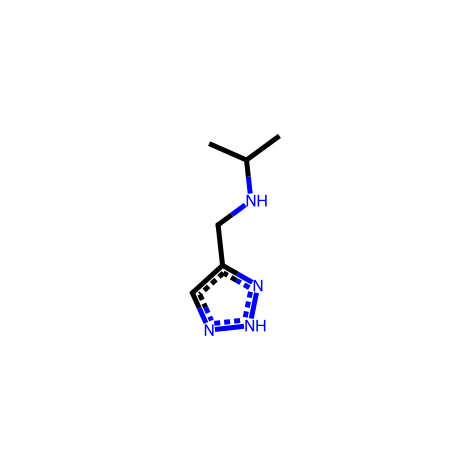 CC(C)NCc1cn[nH]n1